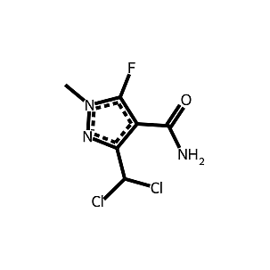 Cn1nc(C(Cl)Cl)c(C(N)=O)c1F